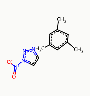 Cc1cc(C)cc(C)c1.O=[N+]([O-])n1ccnn1